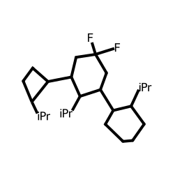 CC(C)C1CCCCC1C1CC(F)(F)CC(C2CCC2C(C)C)C1C(C)C